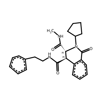 CNC(=O)[C@H]1[C@H](C(=O)NCCc2ccccc2)c2ccccc2C(=O)N1C1CCCC1